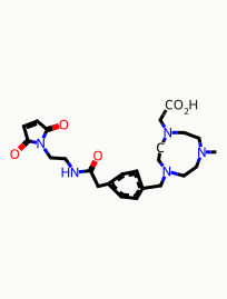 CN1CCN(CC(=O)O)CCN(Cc2ccc(CC(=O)NCCN3C(=O)C=CC3=O)cc2)CC1